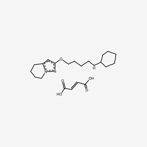 O=C(O)C=CC(=O)O.c1c(OCCCCNC2CCCCC2)nn2c1CCCC2